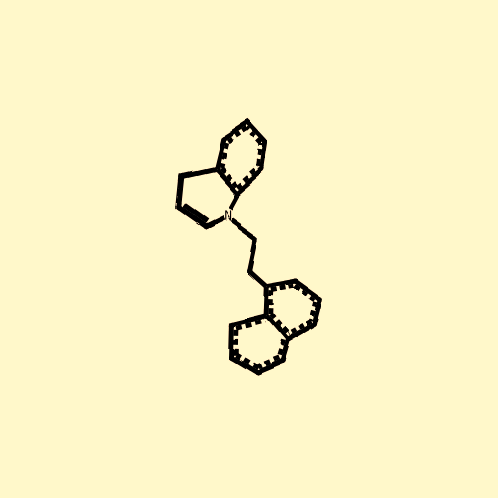 C1=CN(CCc2cccc3ccccc23)c2ccccc2C1